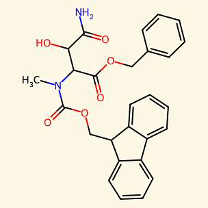 CN(C(=O)OCC1c2ccccc2-c2ccccc21)C(C(=O)OCc1ccccc1)C(O)C(N)=O